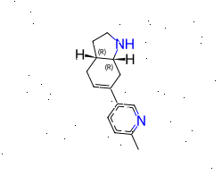 Cc1ccc(C2=CC[C@@H]3CCN[C@@H]3C2)cn1